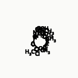 Cc1cc2c(cc1Cl)O[C@@H](C)CCCCOC1(C)CCN(CC1)c1c([C@H](OC(C)(C)C)C(=O)O)c(C)nc3cc(nn13)-c1cccc-2c1